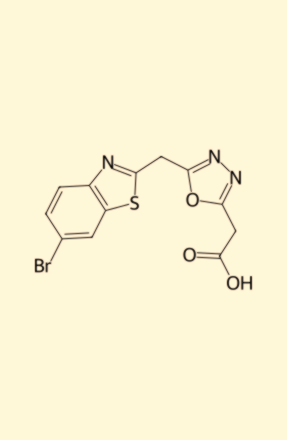 O=C(O)Cc1nnc(Cc2nc3ccc(Br)cc3s2)o1